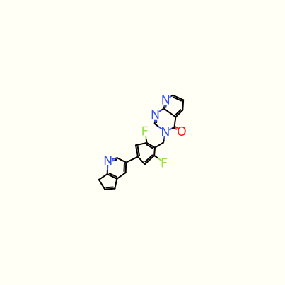 O=c1c2cccnc2ncn1Cc1c(F)cc(-c2cnc3c(c2)C=CC3)cc1F